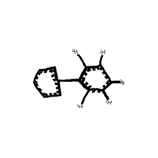 [2H]c1c([2H])c(-c2ccccc2)c([2H])c([2H])c1Br